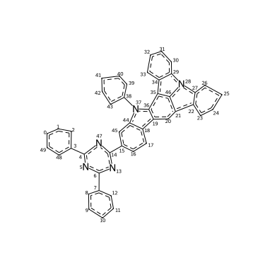 c1ccc(-c2nc(-c3ccccc3)nc(-c3ccc4c5cc6c7ccccc7n7c8ccccc8c(c5n(-c5ccccc5)c4c3)c67)n2)cc1